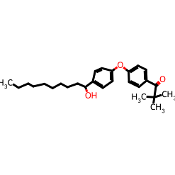 CCCCCCCCCC(O)c1ccc(Oc2ccc(C(=O)C(C)(C)C)cc2)cc1